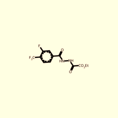 CCOC(=O)C(=O)NNC(=O)c1ccc(C(F)(F)F)c(F)c1